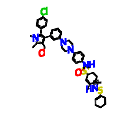 CC1=CC([S+]([O-])Nc2ccc(N3CCN(c4cccc(-c5c(C=O)c(C)n(C)c5-c5ccc(Cl)cc5)c4)CC3)cc2)CC[C@]1(C)NSC1=CCCC=C1